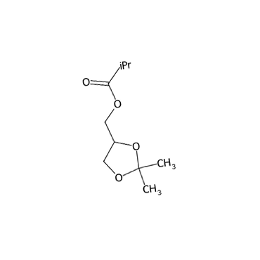 CC(C)C(=O)OCC1COC(C)(C)O1